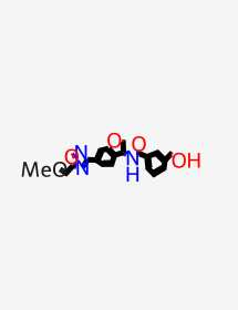 COCc1nc(-c2ccc3c(c2)OCC3NC(=O)c2cccc(CO)c2)no1